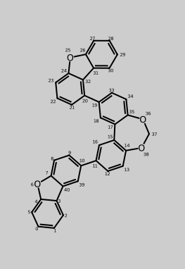 c1ccc2c(c1)oc1ccc(-c3ccc4c(c3)-c3cc(-c5cccc6oc7ccccc7c56)ccc3OCO4)cc12